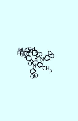 Cc1cc2c3c(c1)N(c1ccc4c(c1)OCO4)c1oc4ccc(C(C)(C)C)cc4c1B3c1c(oc3ccc(C(C)(C)C)cc13)N2c1ccc2c(c1)OCO2